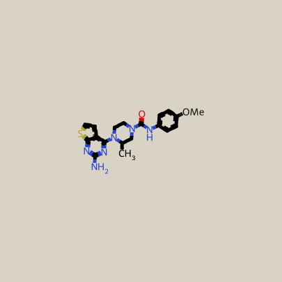 COc1ccc(NC(=O)N2CCN(c3nc(N)nc4sccc34)C(C)C2)cc1